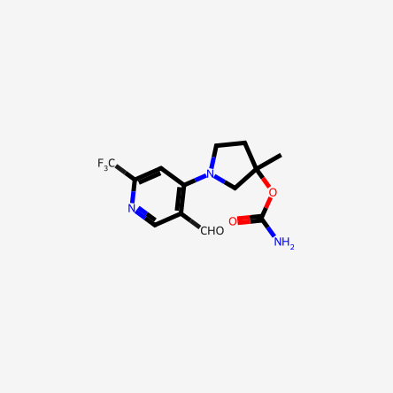 CC1(OC(N)=O)CCN(c2cc(C(F)(F)F)ncc2C=O)C1